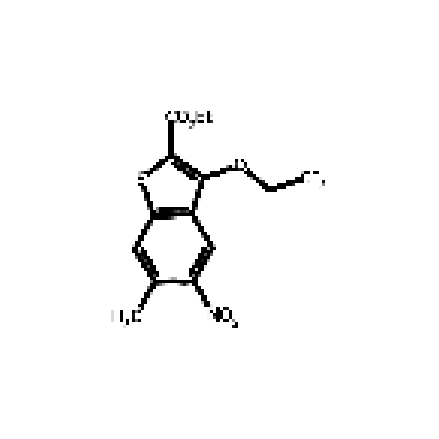 CCOC(=O)c1sc2cc(C)c([N+](=O)[O-])cc2c1OCC(F)(F)F